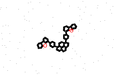 c1ccc2c(c1)oc1c(-c3ccc(-c4ccc5ccc6ccc(-c7ccc(-c8cccc9c8oc8ccccc89)cc7)c7ccc4c5c67)cc3)cccc12